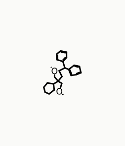 COCC(CCC(c1ccccc1)c1ccccc1)(COC)C1CCCCC1